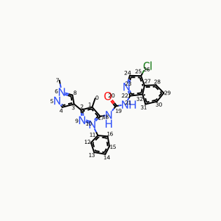 Cc1c(-c2cnn(C)c2)nn(-c2ccccc2)c1NC(=O)Nc1ncc(Cl)c2ccccc12